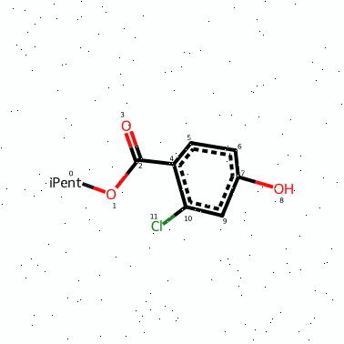 CCCC(C)OC(=O)c1ccc(O)cc1Cl